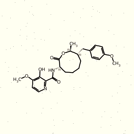 COc1ccc(C[C@@H]2CCCC[C@H](NC(=O)c3nccc(OC)c3O)C(=O)O[C@H]2C)cc1